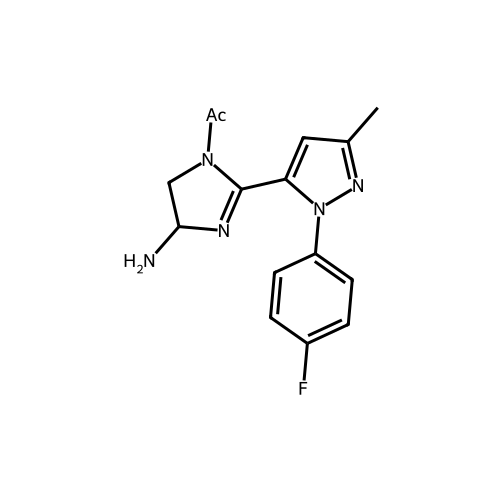 CC(=O)N1CC(N)N=C1c1cc(C)nn1-c1ccc(F)cc1